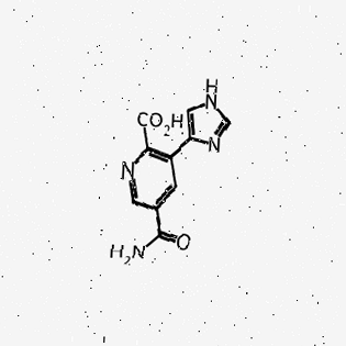 NC(=O)c1cnc(C(=O)O)c(-c2c[nH]cn2)c1